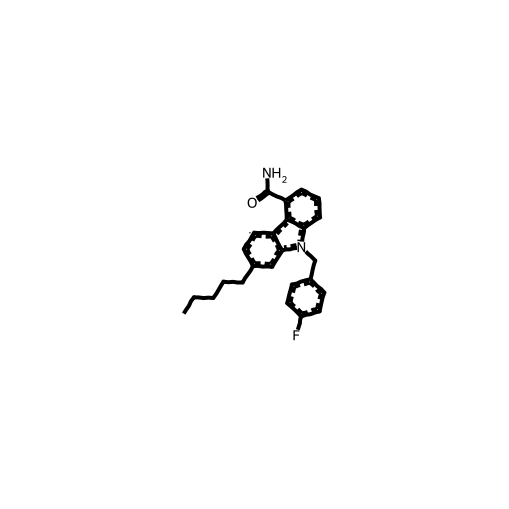 CCCCCc1c[c]c2c3c(C(N)=O)cccc3n(Cc3ccc(F)cc3)c2c1